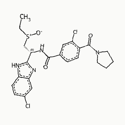 CC[S+]([O-])C[C@H](NC(=O)c1ccc(C(=O)N2CCCC2)c(Cl)c1)c1nc2cc(Cl)ccc2[nH]1